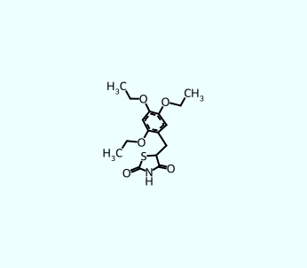 CCOc1cc(OCC)c(OCC)cc1CC1SC(=O)NC1=O